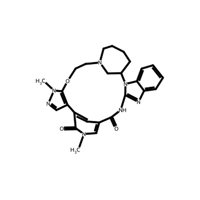 Cn1ncc2c1OCCN1CCCCC(C1)n1c(nc3ccccc31)NC(=O)c1cc-2c(=O)n(C)c1